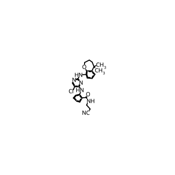 CC1(C)CCCOc2c(Nc3ncc(Cl)c(Nc4ccccc4C(=O)NCCC#N)n3)cccc21